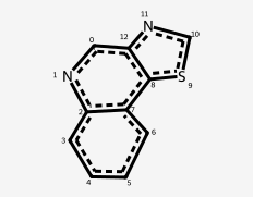 [c]1nc2ccccc2c2scnc12